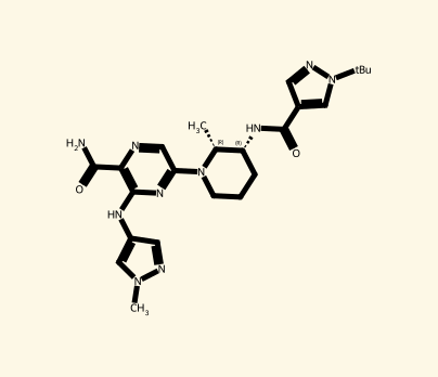 C[C@@H]1[C@H](NC(=O)c2cnn(C(C)(C)C)c2)CCCN1c1cnc(C(N)=O)c(Nc2cnn(C)c2)n1